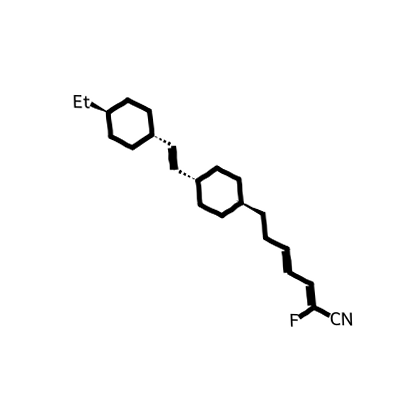 CC[C@H]1CC[C@H](/C=C/[C@H]2CC[C@H](CC/C=C/C=C(\F)C#N)CC2)CC1